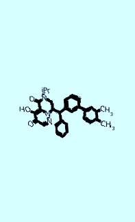 CC1C=CC(c2cccc(C(c3ccccc3)C3CN(C(C)C)C(=O)c4c(O)c(=O)cnn43)c2)=CC1C